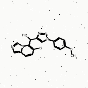 COc1ccc(-n2cc(C(O)c3c(Cl)ccc4cncn34)nn2)cc1